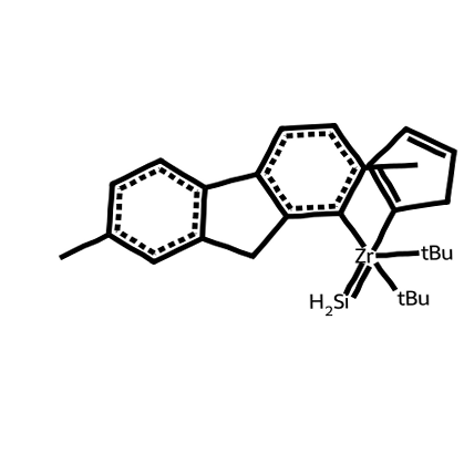 Cc1ccc2c(c1)Cc1c-2ccc(C)[c]1[Zr](=[SiH2])([C]1=CC=CC1)([C](C)(C)C)[C](C)(C)C